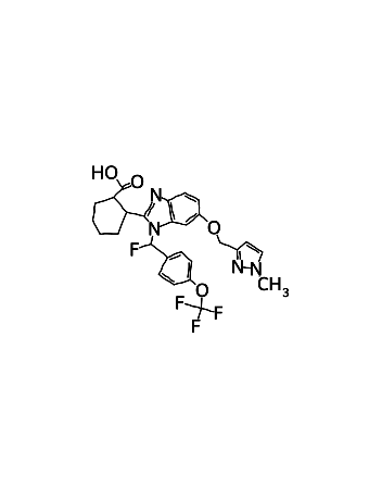 Cn1ccc(COc2ccc3nc(C4CCCCC4C(=O)O)n(C(F)c4ccc(OC(F)(F)F)cc4)c3c2)n1